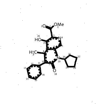 COC(=O)c1ncc2c(c(C)c(-c3ccccc3)c(=O)n2C2CCCC2)c1O